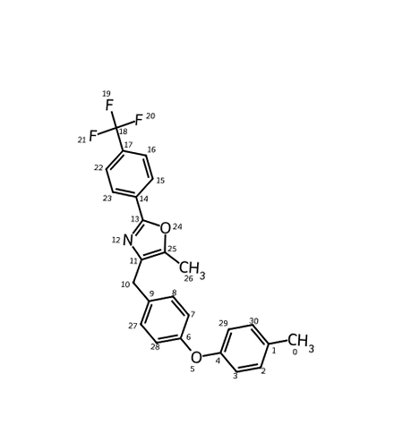 Cc1ccc(Oc2ccc(Cc3nc(-c4ccc(C(F)(F)F)cc4)oc3C)cc2)cc1